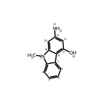 Cn1c2ccccc2c2c(O)cc(N)cc21